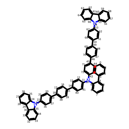 c1ccc(-c2ccccc2N(c2ccc(-c3ccc(-c4ccc(-n5c6ccccc6c6ccccc65)cc4)cc3)cc2)c2ccc(-c3ccc(-c4ccc(-n5c6ccccc6c6ccccc65)cc4)cc3)cc2)cc1